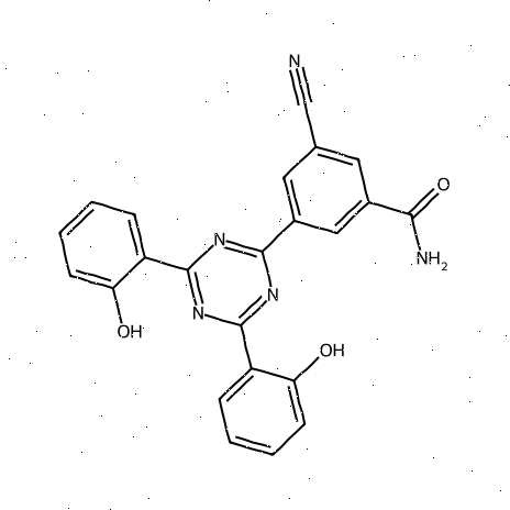 N#Cc1cc(C(N)=O)cc(-c2nc(-c3ccccc3O)nc(-c3ccccc3O)n2)c1